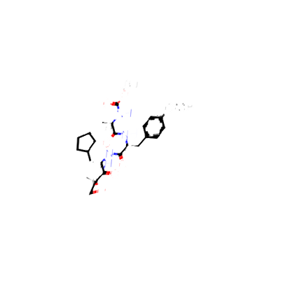 COc1ccc(C[C@H](NC(=O)[C@@H](C)NC(=O)OC(C)(C)C)C(=O)N[C@@H](CC2CCCC2)C(=O)[C@@]2(C)CO2)cc1